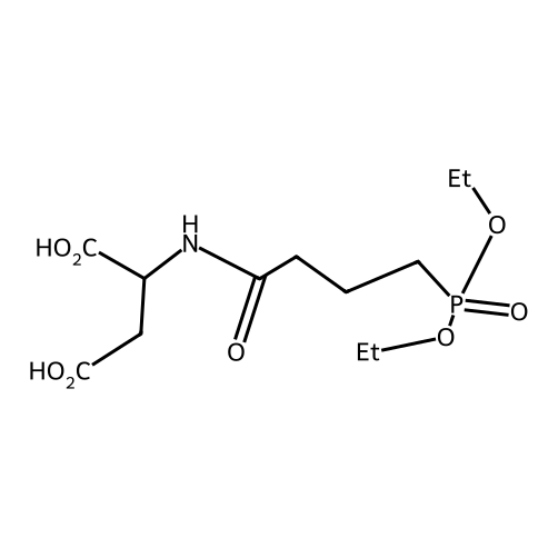 CCOP(=O)(CCCC(=O)NC(CC(=O)O)C(=O)O)OCC